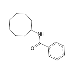 O=C(NC1CCCCCCC1)c1ccccc1